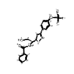 O=C(N[C@@H](CO)c1nc(-c2ccc(OC(F)(F)F)cc2)no1)c1ccccc1